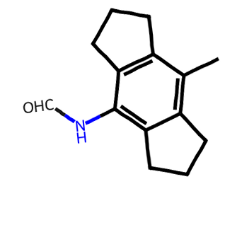 Cc1c2c(c(NC=O)c3c1CCC3)CCC2